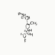 Cc1cc(NC(=O)[C@H](O)c2cc(F)cc(F)c2)ccc1-c1cncc(C(=O)NC(C)C)c1